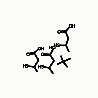 CC(C)(C)C.CC(S)CC(=O)O.CC(S)CC(=O)O.CC(S)CC(=O)O